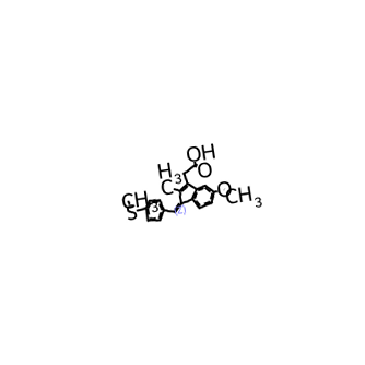 COc1ccc2c(c1)C(CC(=O)O)=C(C)/C2=C\c1ccc(SC)cc1